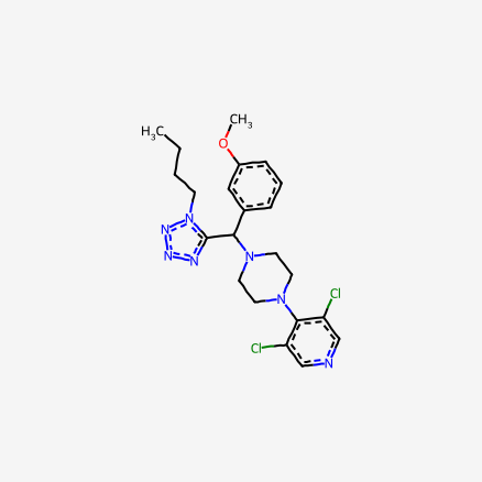 CCCCn1nnnc1C(c1cccc(OC)c1)N1CCN(c2c(Cl)cncc2Cl)CC1